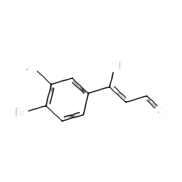 O=CC=C(Cl)c1ccc(Br)c(Cl)c1